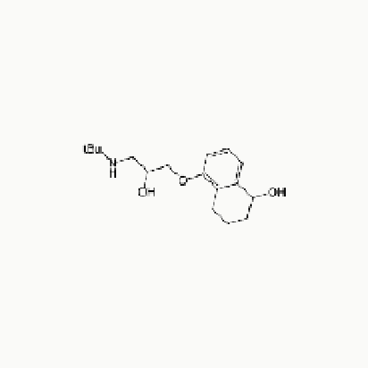 CC(C)(C)NCC(O)COc1cccc2c1CCCC2O